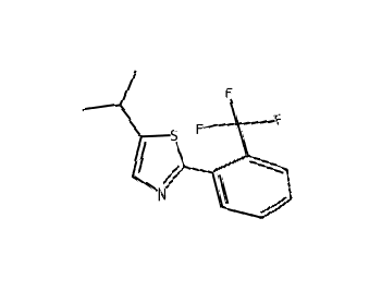 CC(C)c1cnc(-c2ccccc2C(F)(F)F)s1